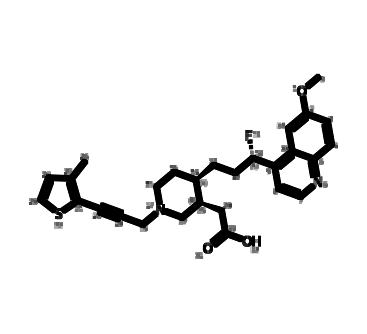 COc1ccc2nccc([C@@H](F)CC[C@@H]3CCN(CC#Cc4sccc4C)C[C@@H]3CC(=O)O)c2c1